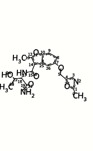 Cc1ncc(COc2ccc3oc(C)c(C(=O)N[C@H](C(N)=O)[C@@H](C)O)c3c2)o1